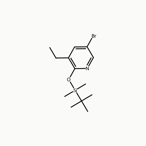 CCc1cc(Br)cnc1O[Si](C)(C)C(C)(C)C